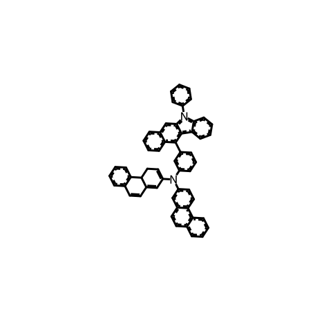 C1=Cc2ccccc2C2CC=C(N(c3cccc(-c4c5ccccc5cc5c4c4ccccc4n5-c4ccccc4)c3)c3ccc4c(ccc5ccccc54)c3)C=C12